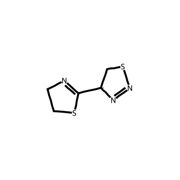 C1CSC([C]2CSN=N2)=N1